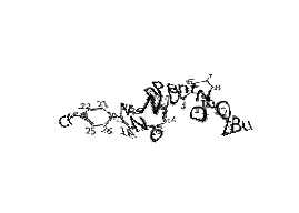 CCCCCn1c(OC[C@H]2CCCN2C(=O)OC(C)(C)C)cc(=O)n2cc(-c3ccc(Cl)cc3)nc12